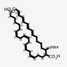 CCCCCCC(CCCCC=CC=CC=CC=CC(=O)O)C(CC/C=C\C/C=C\C/C=C\C/C=C\CCCCC[N+](=O)[O-])C(=O)O